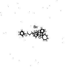 O=C(O[C@H]1C[N+]2(CCCOc3ccccc3)CCC1CC2)C1(c2ccccc2)CCCCCC1.[Br-]